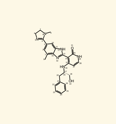 Cc1cc(C2=NCCN2C)cc2[nH]c(-c3c(N[C@H](CO)Cc4ccccc4)cc[nH]c3=O)nc12